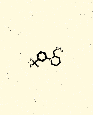 CCC1CCCCN1c1cccc(C(F)(F)F)c1